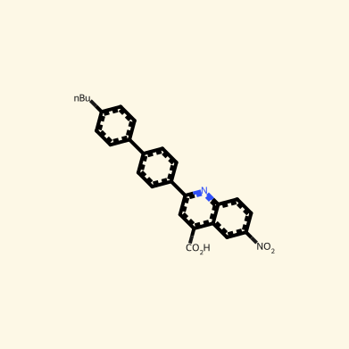 CCCCc1ccc(-c2ccc(-c3cc(C(=O)O)c4cc([N+](=O)[O-])ccc4n3)cc2)cc1